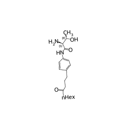 CCCCCCC(=O)CCCc1ccc(NC(=O)[C@@H](N)[C@@H](C)O)cc1